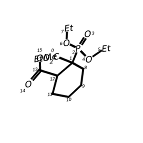 CCOC(=O)C1(P(=O)(OCC)OCC)CCCCC1C(=O)OC